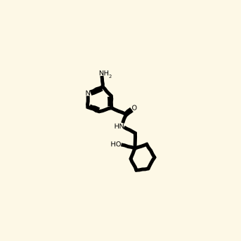 Nc1cc(C(=O)NCC2(O)CCCCC2)ccn1